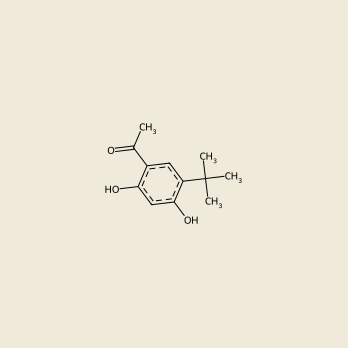 CC(=O)c1cc(C(C)(C)C)c(O)cc1O